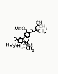 C=C(COc1cc2c(cc1COC)-c1cc(=O)c(C(=O)O)cn1N(C(C)(C)CC)C2)CC(C)C#N